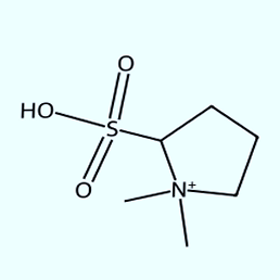 C[N+]1(C)CCCC1S(=O)(=O)O